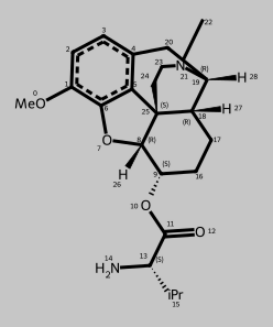 COc1ccc2c3c1O[C@H]1[C@@H](OC(=O)[C@@H](N)C(C)C)CC[C@H]4[C@@H](C2)N(C)CC[C@@]341